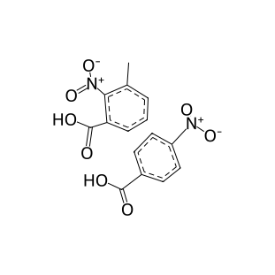 Cc1cccc(C(=O)O)c1[N+](=O)[O-].O=C(O)c1ccc([N+](=O)[O-])cc1